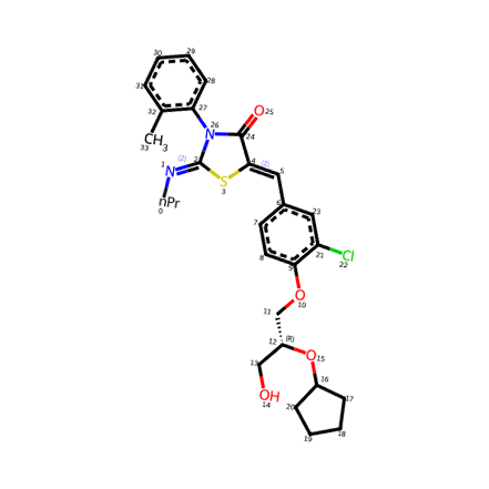 CCC/N=C1\S/C(=C\c2ccc(OC[C@@H](CO)OC3CCCC3)c(Cl)c2)C(=O)N1c1ccccc1C